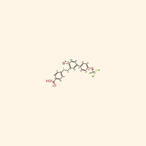 O=C(O)c1ccc(CCc2cc(-c3ccc(OC(F)(F)F)cc3)ccc2Br)cc1